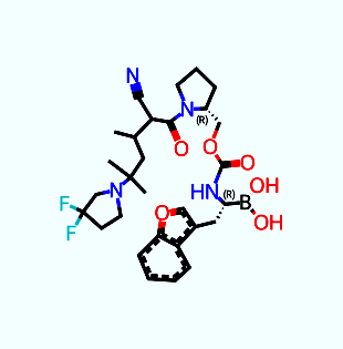 CC(CC(C)(C)N1CCC(F)(F)C1)C(C#N)C(=O)N1CCC[C@@H]1COC(=O)N[C@@H](Cc1coc2ccccc12)B(O)O